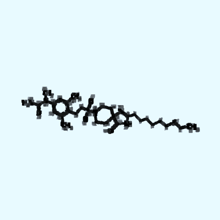 CCSCCCCCCC1=NC2(CCN(S(=O)(=O)CCc3c(C)cc(N(C)C(N)=O)cc3C)CC2)C(=O)N1